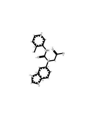 CCC(=O)CN(C(=O)Nc1cnccc1C)c1ccc2ncsc2c1